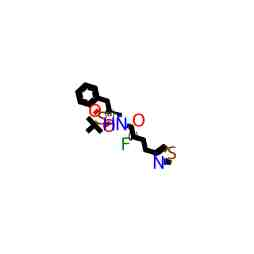 CC(C)(C)S(=O)(=O)[C@H](CNC(=O)[C@H](F)CCc1cscn1)Cc1ccccc1